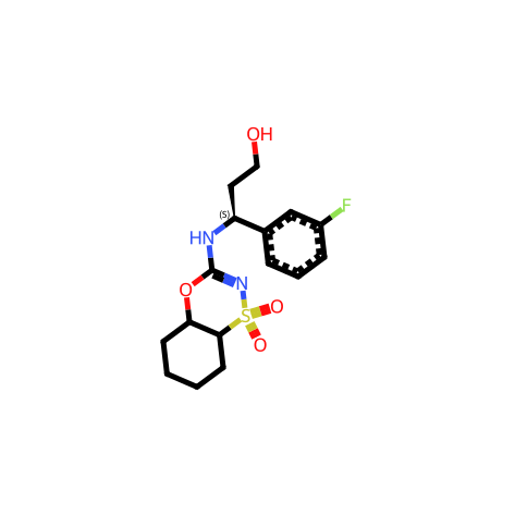 O=S1(=O)N=C(N[C@@H](CCO)c2cccc(F)c2)OC2CCCCC21